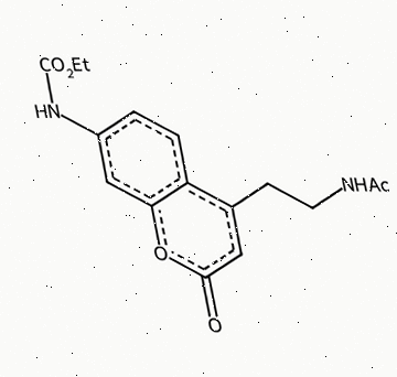 CCOC(=O)Nc1ccc2c(CCNC(C)=O)cc(=O)oc2c1